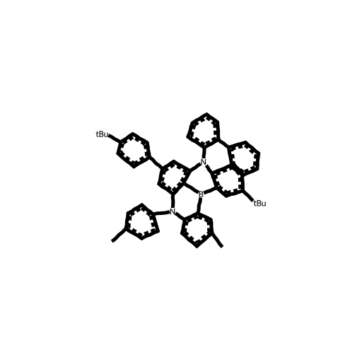 Cc1ccc(N2c3ccc(C)cc3B3c4cc(C(C)(C)C)ccc4N(c4ccccc4-c4ccccc4)c4cc(-c5ccc(C(C)(C)C)cc5)cc2c43)cc1